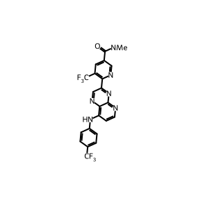 CNC(=O)c1cnc(-c2cnc3c(Nc4ccc(C(F)(F)F)cc4)ccnc3n2)c(C(F)(F)F)c1